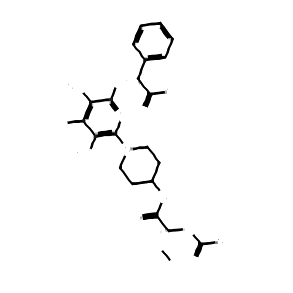 CCc1c(C#N)c(S[C@@H](C(N)=O)c2ccccc2)nc(N2CCC(NC(=O)[C@@H](CC(C)(C)C)OC(N)=O)CC2)c1C#N